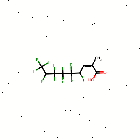 CC(=CC(F)C(F)(F)C(F)(F)C(F)(F)C(F)C(F)(F)F)C(=O)O